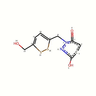 O=c1ccc(O)nn1CC1=CC=C(CO)SS1